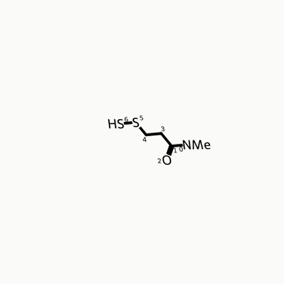 CNC(=O)CCSS